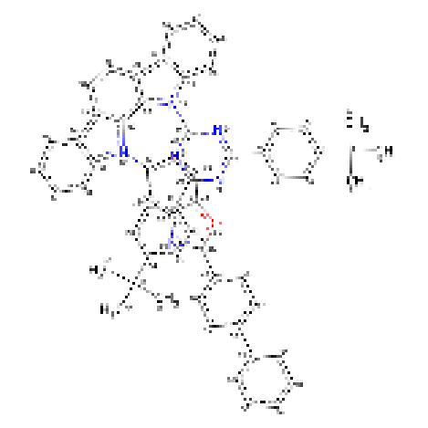 CC(C)(C)c1ccc(-c2nc(-c3ccc(C(C)(C)C)cc3)nc(-n3c4ccccc4c4ccc5c6ccccc6n(-c6ccc7oc(-c8ccc(-c9ccccc9)cc8)nc7c6)c5c43)n2)cc1